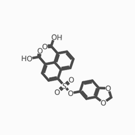 O=C(O)c1cccc2c(S(=O)(=O)Oc3ccc4c(c3)OCO4)ccc(C(=O)O)c12